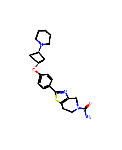 NC(=O)N1CCc2sc(-c3ccc(O[C@H]4C[C@H](N5CCCCC5)C4)cc3)nc2C1